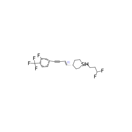 Fc1cc(C#C/C=C/[C@H]2CC[Si@H](CCCC(F)F)CC2)ccc1C(F)(F)F